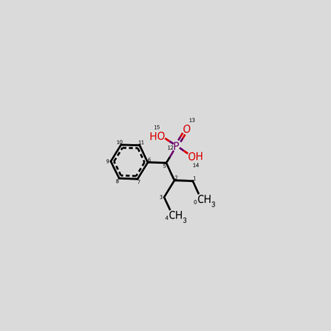 CCC(CC)C(c1ccccc1)P(=O)(O)O